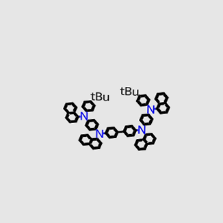 CC(C)(C)c1ccc(N(c2ccc(N(c3ccc(-c4ccc(N(c5ccc(N(c6ccc(C(C)(C)C)cc6)c6cccc7ccccc67)cc5)c5cccc6ccccc56)cc4)cc3)c3cccc4ccccc34)cc2)c2cccc3ccccc23)cc1